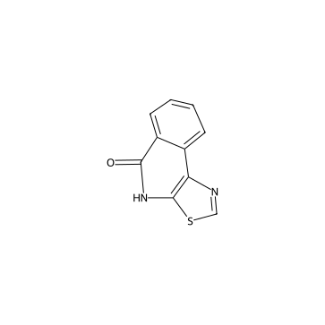 O=c1[nH]c2scnc2c2ccccc12